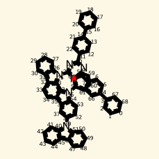 c1ccc(-c2ccc(-c3nc(-c4ccc(-c5ccccc5)cc4)nc(-n4c5ccccc5c5ccc6c7cc(-n8c9ccccc9c9ccccc98)ccc7n(-c7ccccc7)c6c54)n3)cc2)cc1